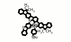 CC(C)(C)c1ccc(Nc2cc3c(cc2-c2ccc4c5cc6c(cc5n5c4c2Bc2cc4c(cc2-5)sc2ccccc24)-c2ccccc2C6(C)C)-c2ccccc2C3(C)C)cc1